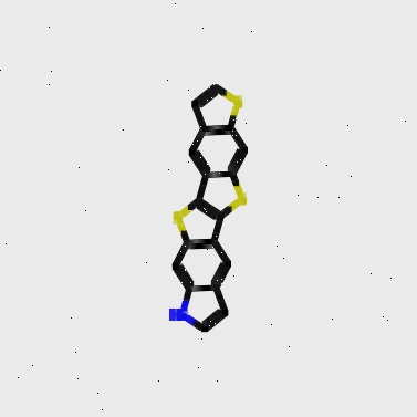 c1cc2cc3c(cc2[nH]1)sc1c2cc4ccsc4cc2sc31